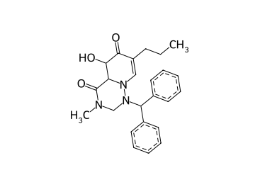 CCCC1=CN2C(C(=O)N(C)CN2C(c2ccccc2)c2ccccc2)C(O)C1=O